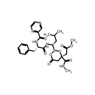 CNC(=O)[C@]1(CC(=O)OC)CC(=O)OB([C@H](CC(C)C)NC(=O)[C@H](Cc2ccccc2)NC(=O)c2cnccn2)O1